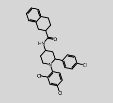 O=C(NC1CCN(c2ccc(Cl)cc2Cl)C(c2ccc(Cl)cc2)C1)C1CCc2ccccc2C1